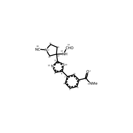 CNC(=O)c1cccc(-c2cnc(C3(NC=O)CCN(C#N)C3)s2)c1